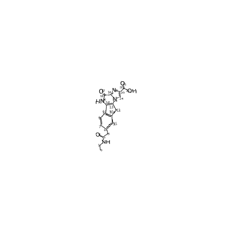 CCNC(=O)Cc1ccc2c(c1)Cc1c-2[nH]c(=O)c2nc(C(=O)O)cn12